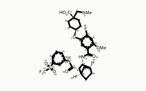 COC[C@]1(C(=O)O)CC[C@@H](Oc2cc(C(=O)N[C@@H]3[C@H]4CC[C@H](C4)[C@@H]3C(=O)Nc3cccc(S(=O)(=O)C(F)(F)F)c3)c(OC)cc2F)CC1